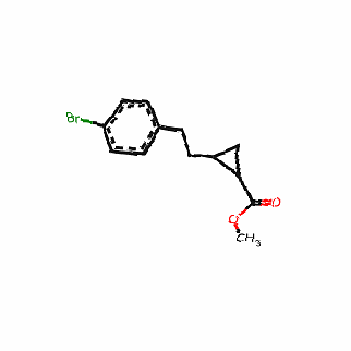 COC(=O)C1CC1CCc1ccc(Br)cc1